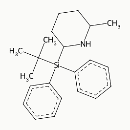 CC1CCCC([Si](c2ccccc2)(c2ccccc2)C(C)(C)C)N1